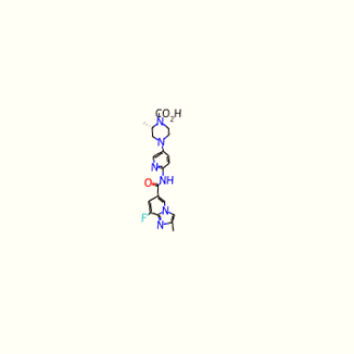 Cc1cn2cc(C(=O)Nc3ccc(N4CCN(C(=O)O)[C@@H](C)C4)cn3)cc(F)c2n1